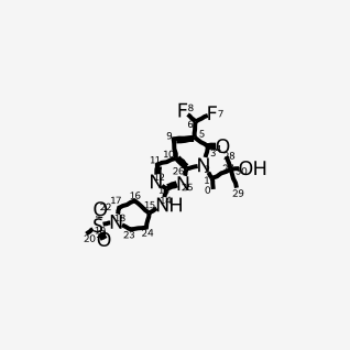 CC(n1c(=O)c(C(F)F)cc2cnc(NC3CCN(S(C)(=O)=O)CC3)nc21)C(C)(C)O